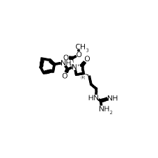 COC(=O)[N@@+]1(C(=O)Nc2ccccc2)C[C@@H](CCCNC(=N)N)C1=O